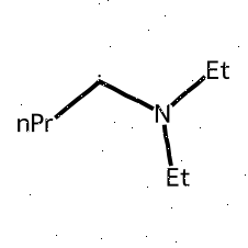 [CH2]CC[CH]N(CC)CC